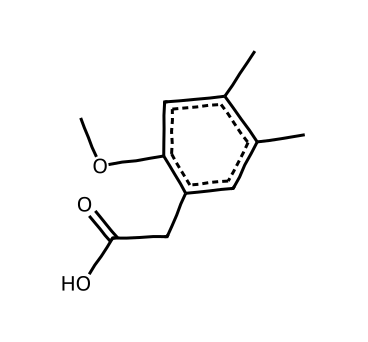 COc1cc(C)c(C)cc1CC(=O)O